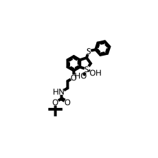 CC(C)(C)OC(=O)NCCOc1cccc2c1S(O)(O)CC2Sc1ccccc1